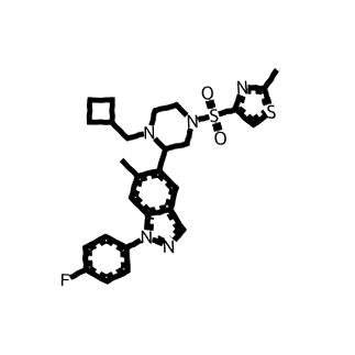 Cc1nc(S(=O)(=O)N2CCN(CC3CCC3)C(c3cc4cnn(-c5ccc(F)cc5)c4cc3C)C2)cs1